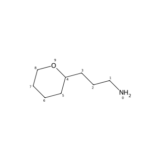 NCCCC1CCCCO1